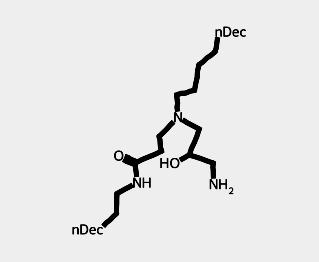 CCCCCCCCCCCCCCN(CCC(=O)NCCCCCCCCCCCC)CC(O)CN